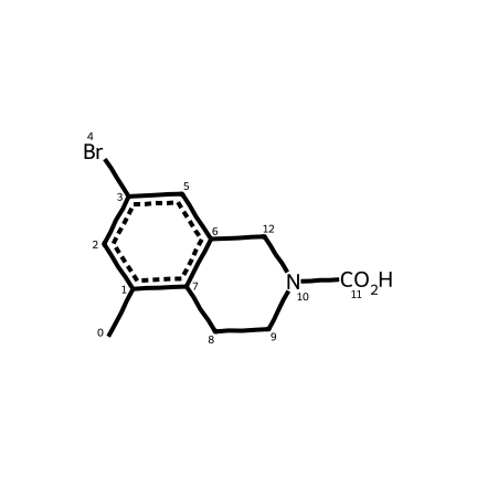 Cc1cc(Br)cc2c1CCN(C(=O)O)C2